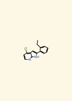 CCc1ccccc1-c1cc2c(Cl)ccnc2[nH]1